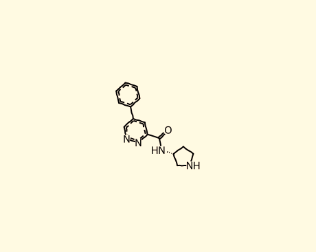 O=C(N[C@@H]1CCNC1)c1cc(-c2ccccc2)cnn1